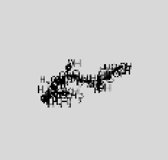 CCC(C)[C@H](NC(=O)[C@H]1CCCCN1C)C(=O)N(COC(=O)CC(C)C)[C@H](C[C@@H](OC(C)=O)c1nc(C(=O)N[C@@H](Cc2ccc(O)cc2)C[C@H](C)C(=O)NNC(=O)OCCSSC[C@H](NC(=O)[C@H](CCC(=O)NC[C@H](O)[C@@H](O)[C@H](O)[C@H](O)CO)NC)C(=O)O)cs1)C(C)C